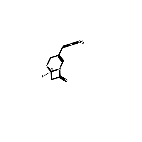 C=C=CC1=CN2C(=O)C[C@H]2SC1